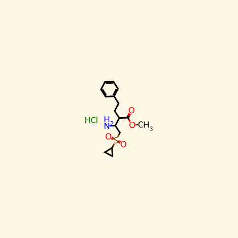 COC(=O)C(CCc1ccccc1)C(N)CS(=O)(=O)C1CC1.Cl